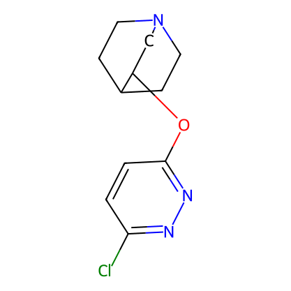 Clc1ccc(OC2CN3CCC2CC3)nn1